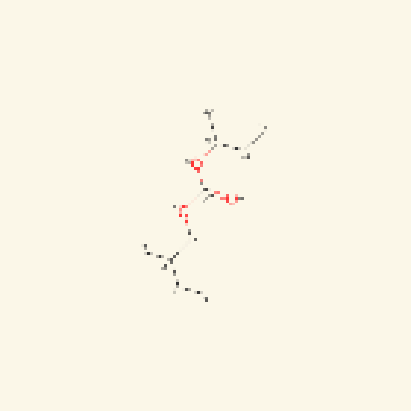 CCC(C)COC(=O)OC(C)CC